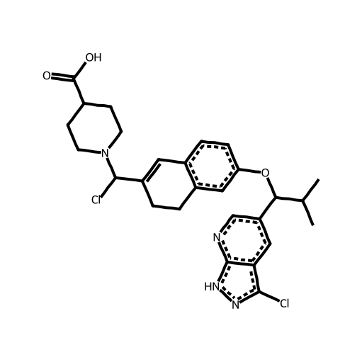 CC(C)C(Oc1ccc2c(c1)CCC(C(Cl)N1CCC(C(=O)O)CC1)=C2)c1cnc2[nH]nc(Cl)c2c1